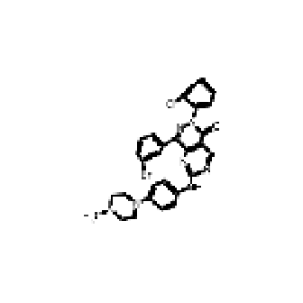 CN1CCN(c2ccc(Nc3ncc4c(=O)n(-c5ccccc5Cl)nc(-c5cccc(Br)c5)c4n3)cc2)CC1